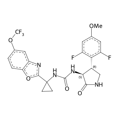 COc1cc(F)c([C@@H]2CNC(=O)[C@H]2NC(=O)NC2(c3nc4cc(OC(F)(F)F)ccc4o3)CC2)c(F)c1